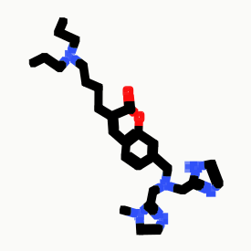 CCCN(CCC)CCCCc1cc2ccc(CN(Cc3ncc[nH]3)Cc3nccn3C)cc2oc1=O